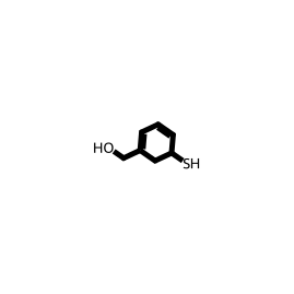 OCC1=CC=CC(S)C1